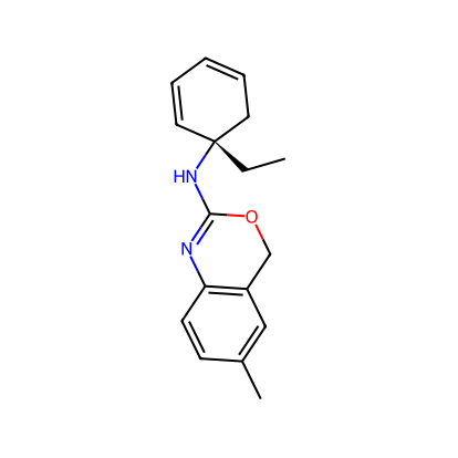 CC[C@@]1(NC2=Nc3ccc(C)cc3CO2)C=CC=CC1